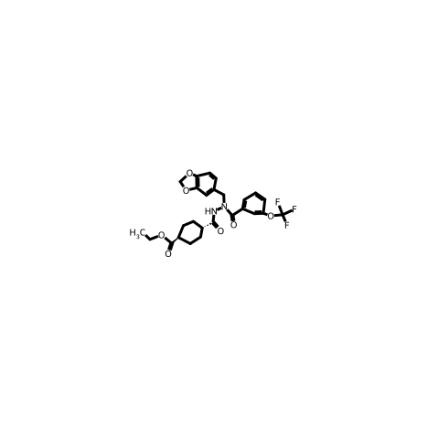 CCOC(=O)[C@H]1CC[C@H](C(=O)NN(Cc2ccc3c(c2)OCO3)C(=O)c2cccc(OC(F)(F)F)c2)CC1